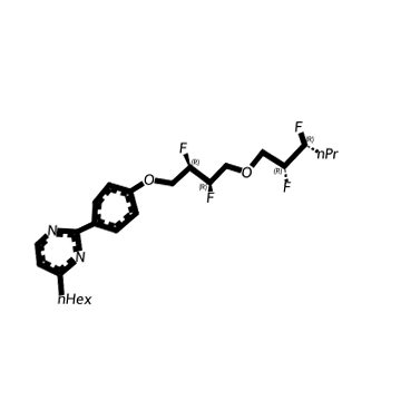 CCCCCCc1ccnc(-c2ccc(OC[C@@H](F)[C@H](F)COC[C@@H](F)[C@H](F)CCC)cc2)n1